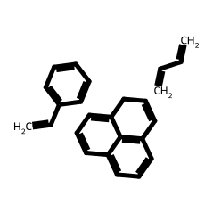 C1=Cc2cccc3cccc(c23)C1.C=CC=C.C=Cc1ccccc1